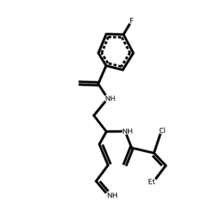 C=C(NC(/C=C/C=N)CNC(=C)c1ccc(F)cc1)/C(Cl)=C\CC